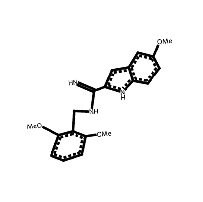 COc1ccc2[nH]c(C(=N)NCc3c(OC)cccc3OC)cc2c1